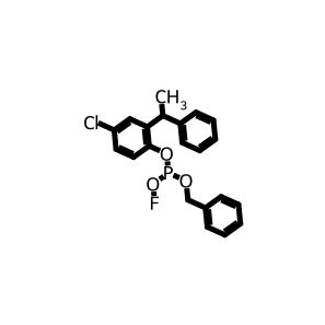 CC(c1ccccc1)c1cc(Cl)ccc1OP(OF)OCc1ccccc1